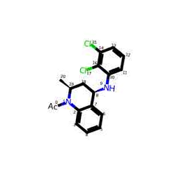 CC(=O)N1c2ccccc2[C@H](Nc2cccc(Cl)c2Cl)C[C@@H]1C